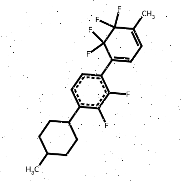 CC1=CC=C(c2ccc(C3CCC(C)CC3)c(F)c2F)C(F)(F)C1(F)F